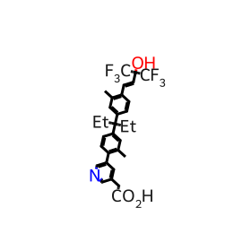 CCC(CC)(c1ccc(C=CC(O)(C(F)(F)F)C(F)(F)F)c(C)c1)c1ccc(-c2cncc(CC(=O)O)c2)c(C)c1